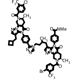 CNC(=O)c1ccc(-n2c(=O)c3c(n4ncc(CC(C)CCn5cnnc5-c5ccc(-n6c(=O)c7c(n8ncc(CC9CCC9)c68)CN(C(=O)c6ccc(Cl)c(C(F)(F)F)c6)[C@@H](C)C7)cc5)c24)CN(C(=O)c2ccc(Br)c(C(F)(F)F)c2)[C@@H](C)C3)cc1